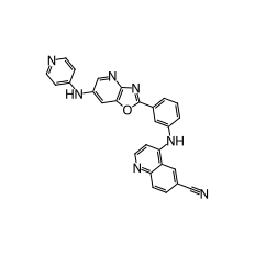 N#Cc1ccc2nccc(Nc3cccc(-c4nc5ncc(Nc6ccncc6)cc5o4)c3)c2c1